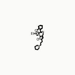 CCN1CN2C(=N1)C(c1ccccc1Cl)=NCC1=CC(CCCN3CCCCC3)[S+]([O-])C12